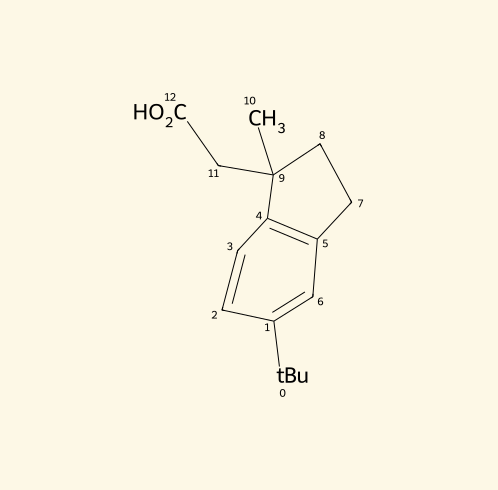 CC(C)(C)c1ccc2c(c1)CCC2(C)CC(=O)O